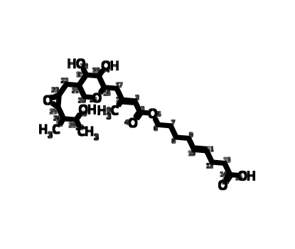 C/C(=C\C(=O)OCCCC/C=C/CCC(=O)O)CC1OCC(CC2OC2C(C)C(C)O)C(O)C1O